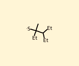 CCC(CC)C(C)([S])CC